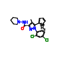 Cc1c(C(=O)NN2CCCCC2)nn(-c2ccc(Cl)cc2Cl)c1C1=CC=C[SeH2]1